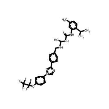 Cc1ccc(C(C)C)c(NC(=S)NC(O)NCc2ccc(-c3ncn(-c4ccc(OC(F)(F)C(F)(F)F)cc4)n3)cc2)c1